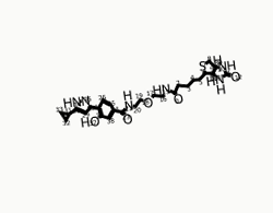 O=C(CCCCC1SC[C@@H]2NC(=O)N[C@H]12)NCCOCCNC(=O)c1ccc(-c2cc(C3CC3)[nH]n2)c(O)c1